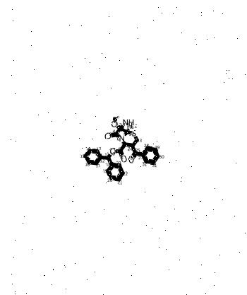 COC1(N)C(=O)N2C(C(=O)OC(c3ccccc3)c3ccccc3)=C(C(=O)c3ccccc3)CS[C@H]21